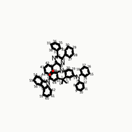 CC1(C)c2cc(N(c3ccccc3)c3ccccc3)ccc2N(c2nc(-c3ccccc3)c(-c3ccccc3)nc2-c2ccccc2)c2ccc(-n3c4ccccc4c4ccccc43)cc21